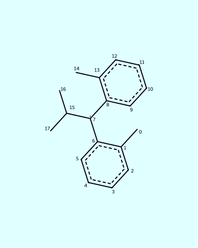 Cc1ccccc1[C](c1ccccc1C)C(C)C